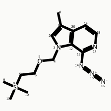 Cc1cn(COCC[Si](C)(C)C)c2c(N=[N+]=[N-])nccc12